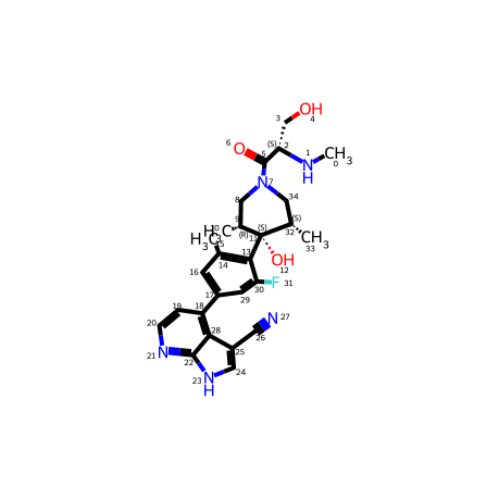 CN[C@@H](CO)C(=O)N1C[C@@H](C)[C@](O)(c2c(C)cc(-c3ccnc4[nH]cc(C#N)c34)cc2F)[C@@H](C)C1